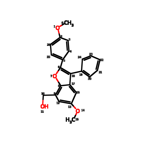 COc1ccc(-c2oc3c(CO)cc(OC)cc3c2-c2ccccc2)cc1